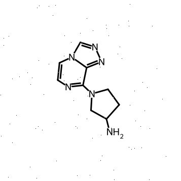 NC1CCN(c2nccn3cnnc23)C1